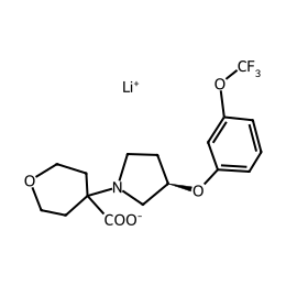 O=C([O-])C1(N2CC[C@@H](Oc3cccc(OC(F)(F)F)c3)C2)CCOCC1.[Li+]